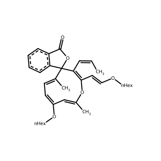 C\C=C/C1=C(\C=C\OCCCCCC)O/C(C)=C/C(OCCCCCC)=C\C=C(/C)C12OC(=O)c1ccccc12